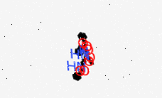 CCOC(=O)[C@H](CCCCNC(=O)OCc1ccccc1)N[C@@H](C)C(=O)N1C2CCCCC2C[C@H]1C(=O)OCc1ccccc1